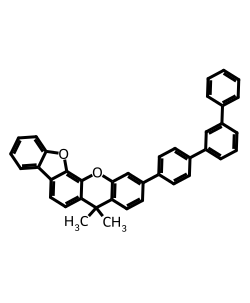 CC1(C)c2ccc(-c3ccc(-c4cccc(-c5ccccc5)c4)cc3)cc2Oc2c1ccc1c2oc2ccccc21